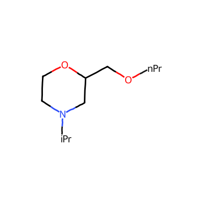 CCCOCC1CN(C(C)C)CCO1